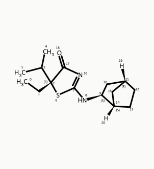 CC[C@]1(C(C)C)SC(N[C@H]2C[C@@H]3CC[C@H]2C3)=NC1=O